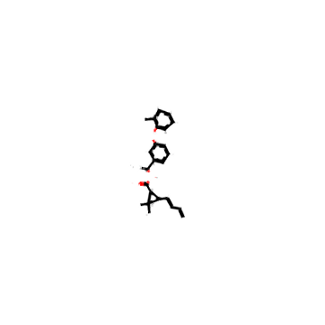 C=CC=CC1C(C(=O)OC(C#N)c2cccc(Oc3ccccc3C)c2)C1(C)C